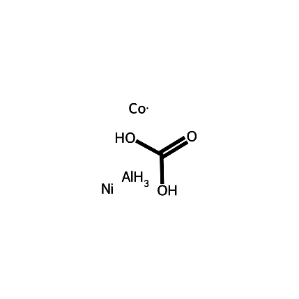 O=C(O)O.[AlH3].[Co].[Ni]